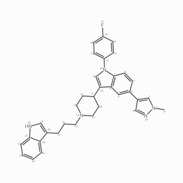 Cn1cc(-c2ccc3c(c2)c(C2CCN(CCCc4c[nH]c5ccccc45)CC2)cn3-c2ccc(F)cc2)cn1